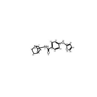 O=C(NC1CC2CCN(CC2)C1)c1ccc(Oc2ccco2)cc1